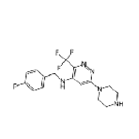 Fc1ccc(CNc2cc(N3CCNCC3)nnc2C(F)(F)F)cc1